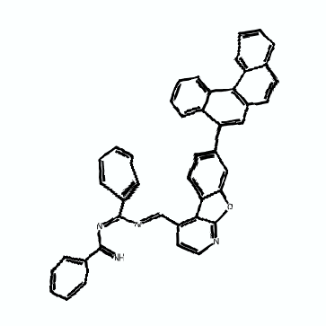 N=C(/N=C(\N=C\c1ccnc2oc3cc(-c4cc5ccc6ccccc6c5c5ccccc45)ccc3c12)c1ccccc1)c1ccccc1